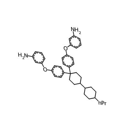 CCCC1CCC(C2CCC(c3ccc(Oc4cccc(N)c4)cc3)(c3ccc(Oc4cccc(N)c4)cc3)CC2)CC1